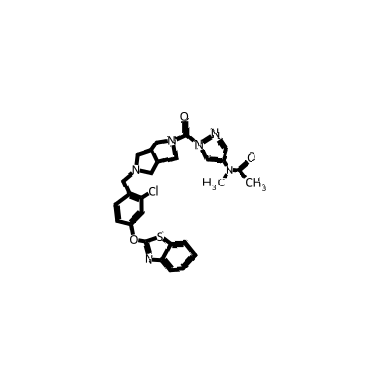 CC(=O)N(C)c1cnn(C(=O)N2CC3CN(Cc4ccc(Oc5nc6ccccc6s5)cc4Cl)CC3C2)c1